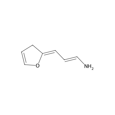 NC=CC=C1CC=CO1